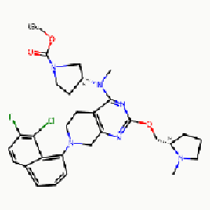 CN1CCC[C@H]1COc1nc2c(c(N(C)[C@@H]3CCN(C(=O)OC(C)(C)C)C3)n1)CCN(c1cccc3ccc(F)c(Cl)c13)C2